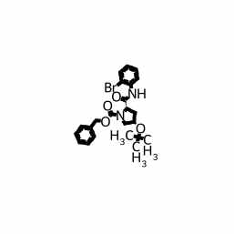 CC(C)(C)O[C@@H]1C[C@@H](C(=O)Nc2ccccc2Br)N(C(=O)OCc2ccccc2)C1